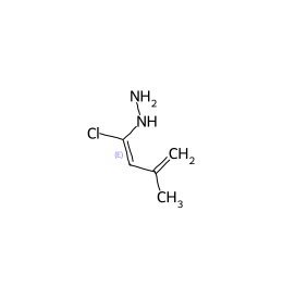 C=C(C)/C=C(/Cl)NN